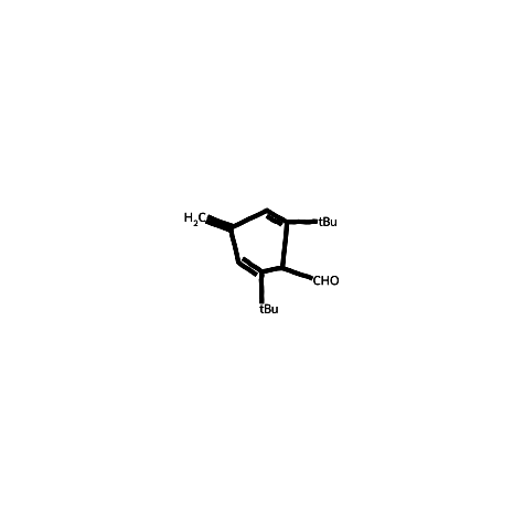 C=C1C=C(C(C)(C)C)C(C=O)C(C(C)(C)C)=C1